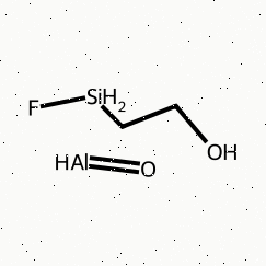 OCC[SiH2]F.[O]=[AlH]